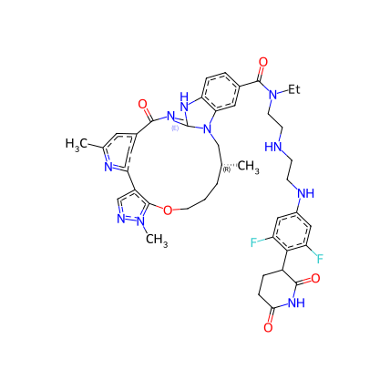 CCN(CCNCCNc1cc(F)c(C2CCC(=O)NC2=O)c(F)c1)C(=O)c1ccc2c(c1)N1C[C@H](C)CCCOc3c(cnn3C)-c3cc(cc(C)n3)C(=O)/N=C/1N2